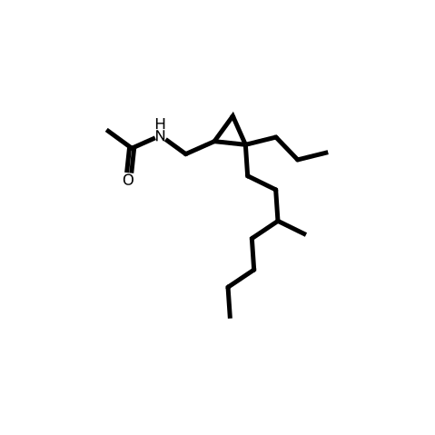 CCCCC(C)CCC1(CCC)CC1CNC(C)=O